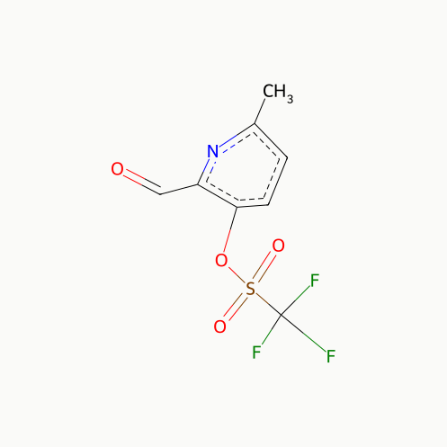 Cc1ccc(OS(=O)(=O)C(F)(F)F)c(C=O)n1